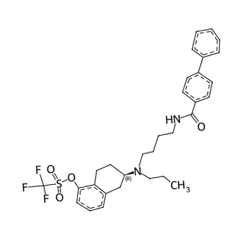 CCCN(CCCCNC(=O)c1ccc(-c2ccccc2)cc1)[C@@H]1CCc2c(cccc2OS(=O)(=O)C(F)(F)F)C1